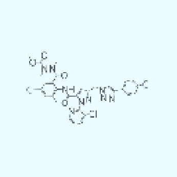 COC(=O)N(C)N(C)C(=O)c1cc(Cl)cc(C)c1NC(=O)c1cc(Cn2cc(-c3ccc(Cl)cc3)nn2)nn1-c1ncccc1Cl